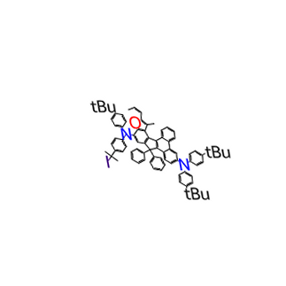 C/C=C\c1oc2c(N(c3ccc(C(C)(C)C)cc3)c3ccc(C(C)(C)I)cc3)cc3c(c2c1C)-c1c(c2ccc(N(c4ccc(C(C)(C)C)cc4)c4ccc(C(C)(C)C)cc4)cc2c2ccccc12)C3(c1ccccc1)c1ccccc1